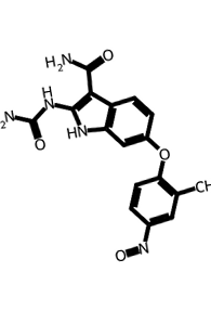 Cc1cc(N=O)ccc1Oc1ccc2c(C(N)=O)c(NC(N)=O)[nH]c2c1